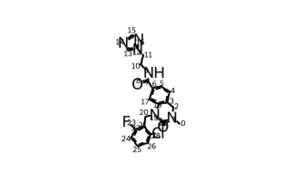 CN1Cc2ccc(C(=O)NCCn3cncn3)cc2N(Cc2c(F)cccc2Cl)C1=O